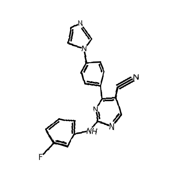 N#Cc1cnc(Nc2cccc(F)c2)nc1-c1ccc(-n2ccnc2)cc1